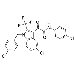 O=C(Nc1ccc(Cl)cc1)C(=O)c1c(C(F)(F)F)n(Cc2ccc(Cl)cc2)c2ccc(Cl)cc12